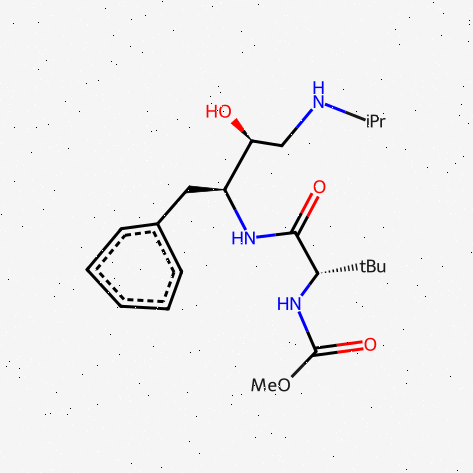 COC(=O)N[C@H](C(=O)N[C@@H](Cc1ccccc1)[C@@H](O)CNC(C)C)C(C)(C)C